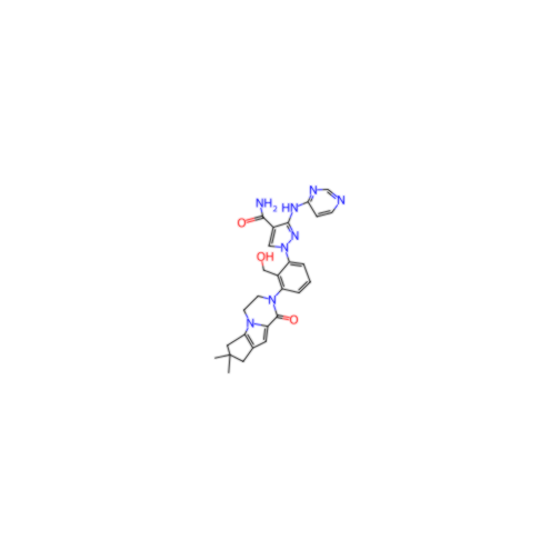 CC1(C)Cc2cc3n(c2C1)CCN(c1cccc(-n2cc(C(N)=O)c(Nc4ccncn4)n2)c1CO)C3=O